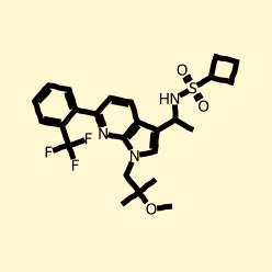 COC(C)(C)Cn1cc(C(C)NS(=O)(=O)C2CCC2)c2ccc(-c3ccccc3C(F)(F)F)nc21